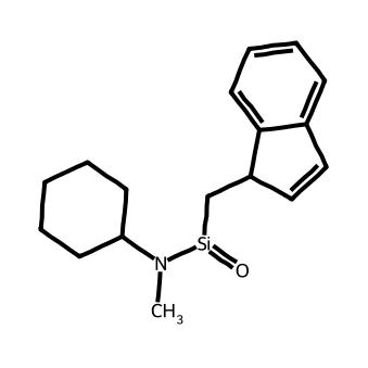 CN(C1CCCCC1)[Si](=O)CC1C=Cc2ccccc21